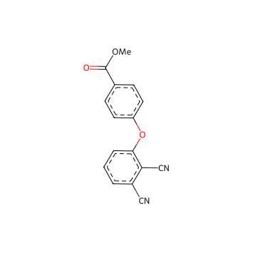 COC(=O)c1ccc(Oc2cccc(C#N)c2C#N)cc1